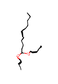 CC=COC(CCCCCCCCC)OC=CC